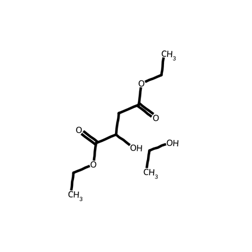 CCO.CCOC(=O)CC(O)C(=O)OCC